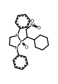 O=[N+]([O-])CC(C1CCCCC1)P1(=O)N(c2ccccc2)CCN1c1ccccc1